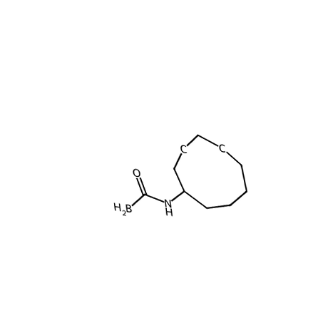 BC(=O)NC1CCCCCCCC1